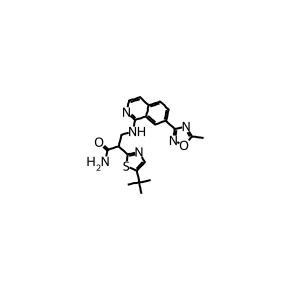 Cc1nc(-c2ccc3ccnc(NCC(C(N)=O)c4ncc(C(C)(C)C)s4)c3c2)no1